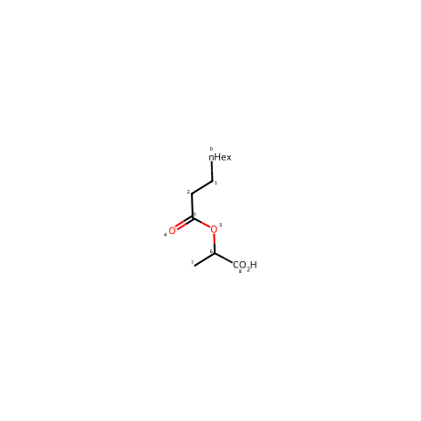 CCCCCCCCC(=O)OC(C)C(=O)O